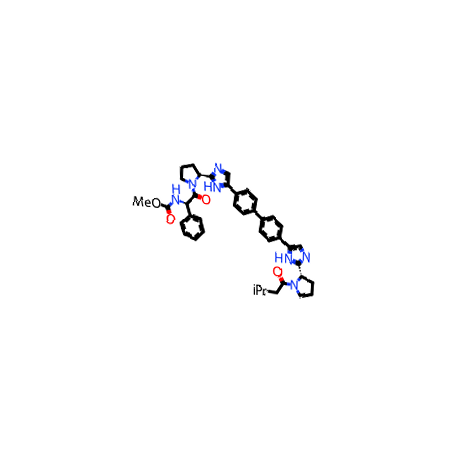 COC(=O)N[C@@H](C(=O)N1CCC[C@H]1c1ncc(-c2ccc(-c3ccc(-c4cnc([C@@H]5CCCN5C(=O)CC(C)C)[nH]4)cc3)cc2)[nH]1)c1ccccc1